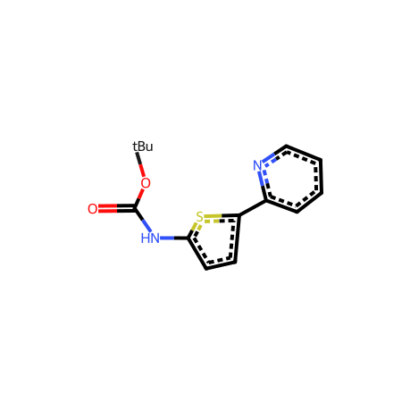 CC(C)(C)OC(=O)Nc1ccc(-c2ccccn2)s1